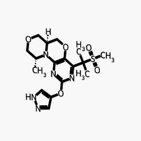 C[C@@H]1COC[C@H]2COc3c(nc(Oc4cn[nH]c4)nc3C(C)(C)S(C)(=O)=O)N21